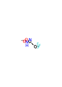 CCOC(=O)Nc1cncc(C#Cc2cccc(C(F)(F)F)c2)c1